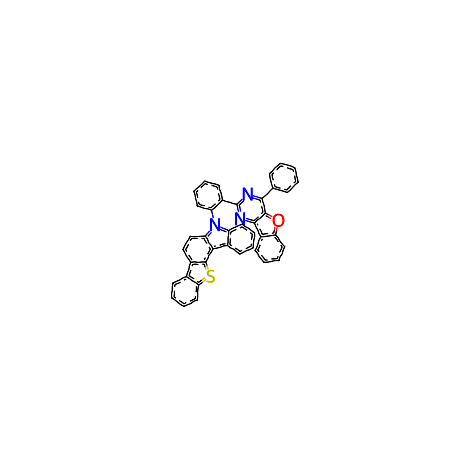 c1ccc(-c2nc(-c3ccccc3-n3c4ccccc4c4c5sc6ccccc6c5ccc43)nc3c2oc2ccccc23)cc1